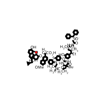 C=CCC1(C(C)CC)C(=O)NC(=O)NC1=O.CC(CN1c2ccccc2Sc2ccccc21)N(C)C.CC[C@@H](c1cccc(O)c1)[C@@H](C)CN(C)C.COc1ccc2cc([C@H](C)C(=O)O)ccc2c1.NC(=O)C[S+]([O-])C(c1ccccc1)c1ccccc1.O=C1CC[C@@]2(O)[C@H]3Cc4ccc(O)c5c4[C@@]2(CCN3CC2CC2)[C@H]1O5